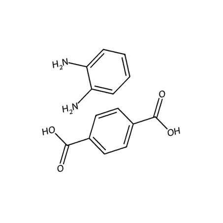 Nc1ccccc1N.O=C(O)c1ccc(C(=O)O)cc1